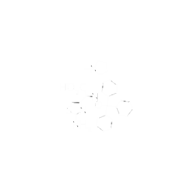 CN1CCCC1.Nc1nc(C(=NOC(c2ccccc2)(c2ccccc2)c2ccccc2)C(=O)O)cs1